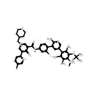 Bc1c(B)c(-c2cnc(N)c(-c3ccc(NC(=O)c4cn(CC5CCOCC5)cc(-c5ccc(C)cn5)c4=O)cc3F)c2)c(B)c(OC(B)(B)B)c1OC